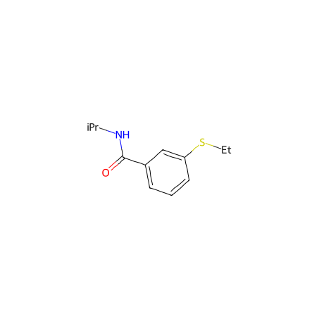 CCSc1cccc(C(=O)NC(C)C)c1